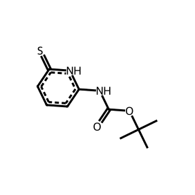 CC(C)(C)OC(=O)Nc1cccc(=S)[nH]1